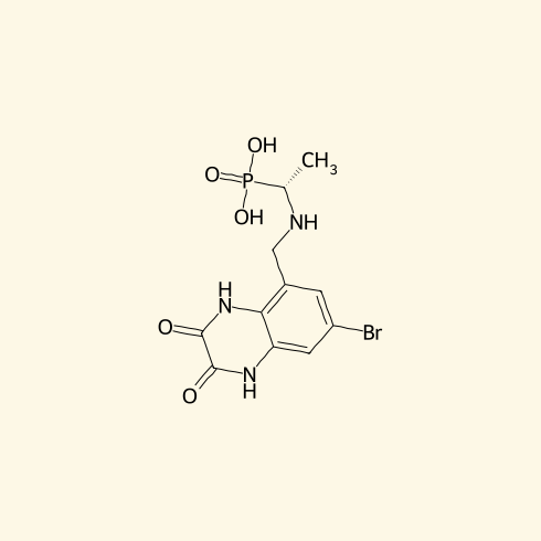 C[C@H](NCc1cc(Br)cc2[nH]c(=O)c(=O)[nH]c12)P(=O)(O)O